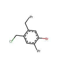 CC(C)Cc1cc(Br)c(C(C)C)cc1CCl